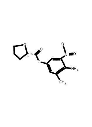 Cc1cc(OC(=O)[C@@H]2CCCO2)cc([N+](=O)[O-])c1N